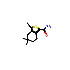 Cc1sc(C(N)=O)c2c1CC(C)(C)CC2